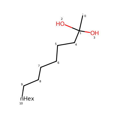 [CH2]C(O)(O)CCCCCCCCCCCC